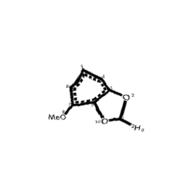 [2H]C1Oc2cccc(OC)c2O1